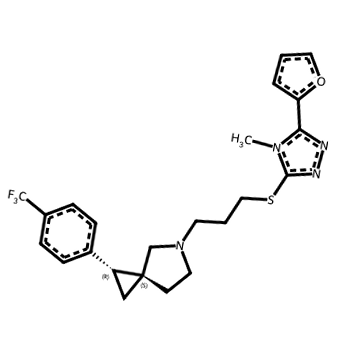 Cn1c(SCCCN2CC[C@]3(C[C@@H]3c3ccc(C(F)(F)F)cc3)C2)nnc1-c1ccco1